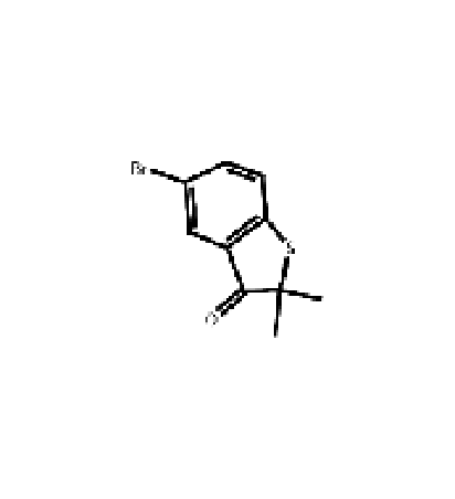 CC1(C)Sc2ccc(Br)cc2C1=O